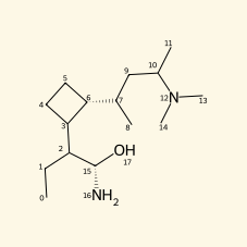 CCC(C1CC[C@@H]1C(C)CC(C)N(C)C)[C@@H](N)O